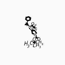 CC(C)(C)OC(=O)N1CC[C@H](CN(C(=O)C(F)(F)F)[C@@H]2C[C@H]2c2ccccc2)C1